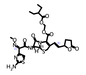 CCC(CC)C(=O)OCOC(=O)C1=C(/C=C/C2CCC(=O)O2)CS[C@H]2[C@H](NC(=O)/C(=N\OC)c3csc(N)n3)C(=O)N12